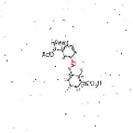 CCCCCC(OC(C)=O)c1cccc(OCc2cccc(C(=O)O)c2C)c1